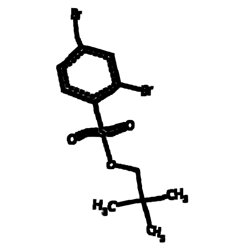 CC(C)(C)COS(=O)(=O)c1ccc(Br)cc1Br